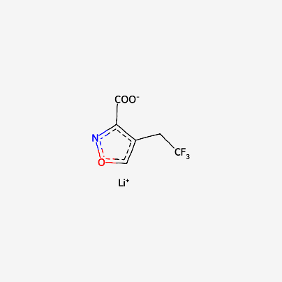 O=C([O-])c1nocc1CC(F)(F)F.[Li+]